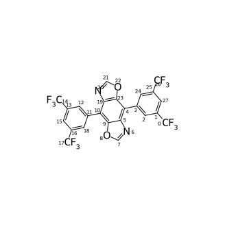 FC(F)(F)c1cc(-c2c3ncoc3c(-c3cc(C(F)(F)F)cc(C(F)(F)F)c3)c3ncoc23)cc(C(F)(F)F)c1